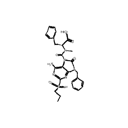 CCCS(=N)(=O)c1nc(N)c2c(n1)n(Cc1ccccc1)c(=O)n2C(=O)N(C)[C@@H](Cc1ccccc1)C(=O)O